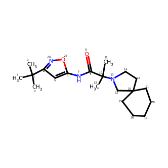 CC(C)(C)c1cc(NC(=O)C(C)(C)N2CCC3(CCCCC3)C2)on1